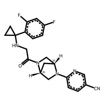 N#Cc1ccc(N2C[C@H]3C[C@@H]2CN3C(=O)CNC2(c3ccc(F)cc3F)CC2)nc1